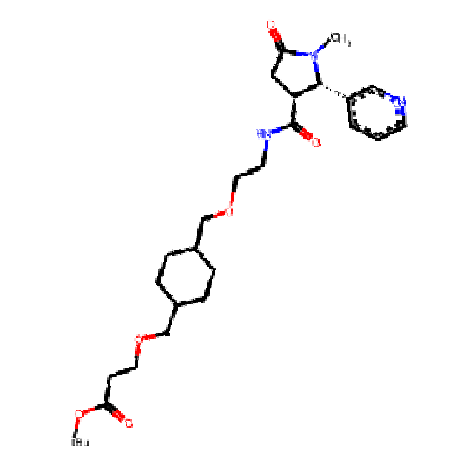 CN1C(=O)C[C@H](C(=O)NCCOCC2CCC(COCCC(=O)OC(C)(C)C)CC2)[C@H]1c1cccnc1